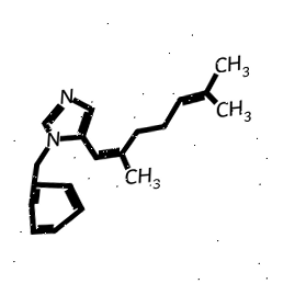 CC(C)=CCC/C(C)=C\c1cncn1Cc1ccccc1